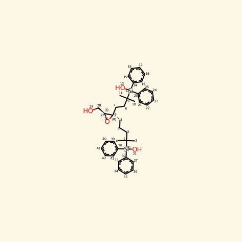 CC(C)(CCC[C@]1(CCC(C)(C)[Si](O)(c2ccccc2)c2ccccc2)O[C@H]1CO)[Si](O)(c1ccccc1)c1ccccc1